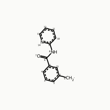 [CH2]c1cccc(C(=O)Nc2ccccn2)c1